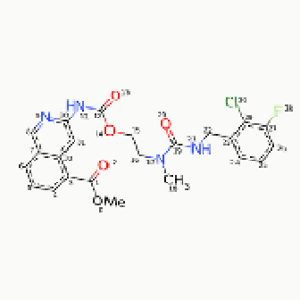 COC(=O)c1cccc2cnc(NC(=O)OCCN(C)C(=O)NCc3cccc(F)c3Cl)cc12